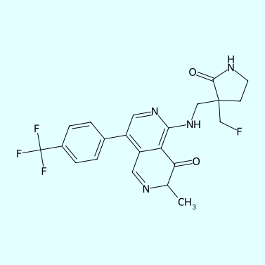 CC1N=Cc2c(-c3ccc(C(F)(F)F)cc3)cnc(NCC3(CF)CCNC3=O)c2C1=O